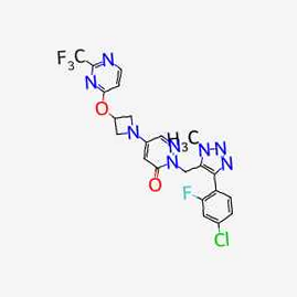 Cn1nnc(-c2ccc(Cl)cc2F)c1Cn1ncc(N2CC(Oc3ccnc(C(F)(F)F)n3)C2)cc1=O